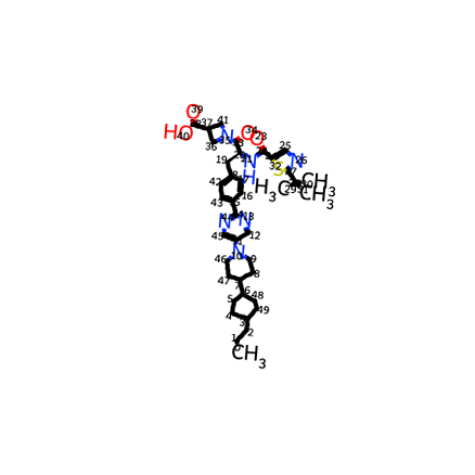 CCCC1CCC(C2CCN(c3cnc(-c4ccc(C[C@H](NC(=O)c5cnc(C(C)(C)C)s5)C(=O)N5CC(C(=O)O)C5)cc4)nc3)CC2)CC1